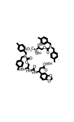 CCCCC(COC(=O)N(Cc1ccc(C)cc1)Cc1ccc(C)cc1)N(C(=O)O)C(C)(C)C.CCCCC(COC(=O)N(Cc1ccc(C)cc1)Cc1ccc(C)cc1)NC(=O)NC(CC(=O)OC)c1ccc2c(c1)OCO2